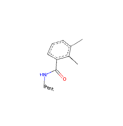 CCCC(C)NC(=O)c1cccc(C)c1C